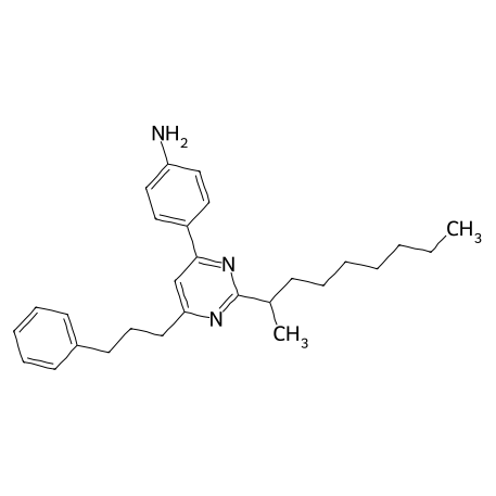 CCCCCCCC(C)c1nc(CCCc2ccccc2)cc(-c2ccc(N)cc2)n1